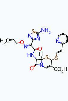 C=CCON=C(C(=O)NC1C(=O)N2C=C(C(=O)O)C(SC=Cc3ccccn3)S[C@H]12)c1nsc(N)n1